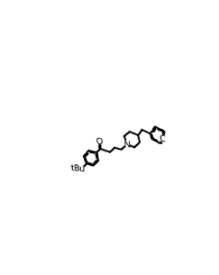 CC(C)(C)c1ccc(C(=O)CCCN2CCC(Cc3ccccc3)CC2)cc1